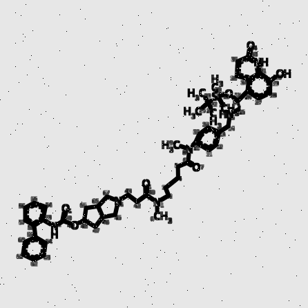 CN(CCCCC(=O)N(C)c1ccc(CNC[C@H](O[Si](C)(C)C(C)(C)C)c2ccc(O)c3[nH]c(=O)ccc23)cc1)C(=O)CCN1CC2CC(OC(=O)Nc3ccccc3-c3ccccc3)CC2C1